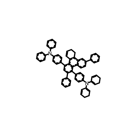 C1=CC(N(C2=CCCC=C2)c2ccc(-c3c(-c4ccccc4)cc(-c4ccc(N(c5ccccc5)c5ccccc5)cc4)c4c5c(c6cc(-c7ccccc7)ccc6c34)CCC=C5)cc2)=CCC1